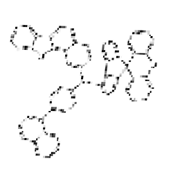 c1ccc2c(c1)Oc1ccccc1C21c2ccccc2-c2c(N(c3ccc(-c4cccc5ccccc45)cc3)c3ccc4ccc5c6ccccc6oc5c4c3)cccc21